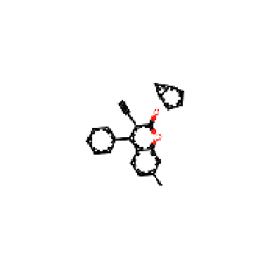 C#Cc1c(-c2ccccc2)c2ccc(C)cc2oc1=O.c1cc2cc-2c1